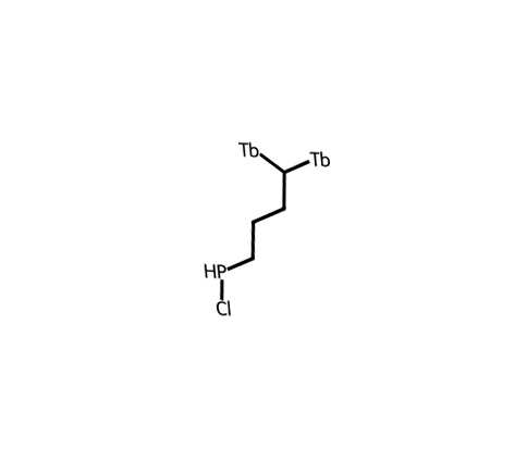 ClPCCC[CH]([Tb])[Tb]